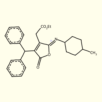 CCOC(=O)CC1=C(C(c2ccccc2)c2ccccc2)C(=O)O/C1=N\C1CCC(C)CC1